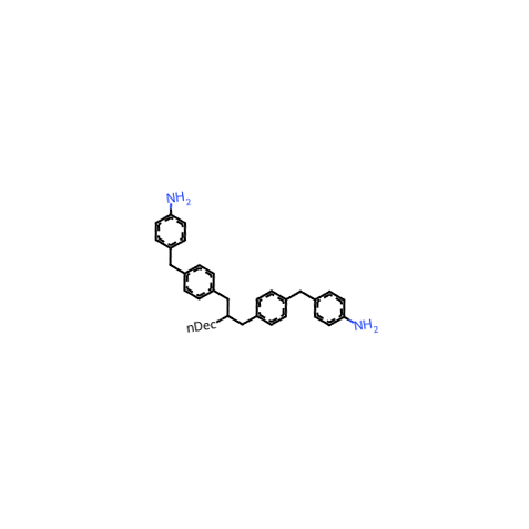 CCCCCCCCCCC(Cc1ccc(Cc2ccc(N)cc2)cc1)Cc1ccc(Cc2ccc(N)cc2)cc1